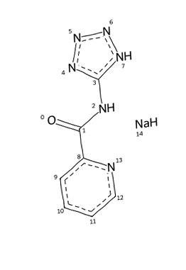 O=C(Nc1nnn[nH]1)c1ccccn1.[NaH]